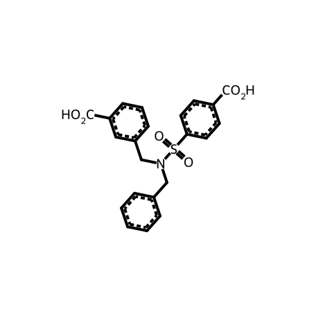 O=C(O)c1ccc(S(=O)(=O)N(Cc2ccccc2)Cc2cccc(C(=O)O)c2)cc1